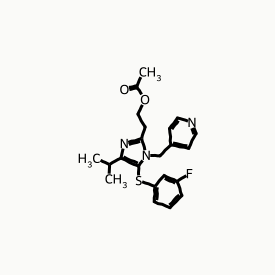 CC(=O)OCCc1nc(C(C)C)c(Sc2cccc(F)c2)n1Cc1ccncc1